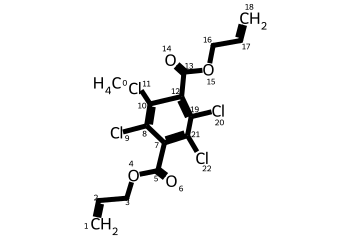 C.C=CCOC(=O)c1c(Cl)c(Cl)c(C(=O)OCC=C)c(Cl)c1Cl